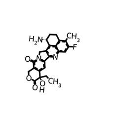 CC[C@]1(O)C(=O)OCc2c1cc1n(c2=O)Cc2c-1nc1cc(F)c(C)c3c1c2[C@H](N)CC3